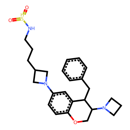 O=[SH](=O)NCCCC1CN(c2ccc3c(c2)C(Cc2ccccc2)C(N2CCC2)CO3)C1